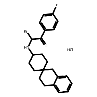 CCC(NC1CCC2(CCc3ccccc3C2)CC1)C(=O)c1ccc(F)cc1.Cl